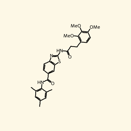 COc1ccc(CCC(=O)Nc2nc3ccc(C(=O)Nc4c(C)cc(C)cc4C)cc3s2)c(OC)c1OC